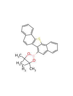 CC1(C)OB(c2cc3ccccc3c3sc4c5ccccc5ccc4c23)OC1(C)C